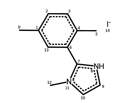 Cc1ccc(C)c(-c2[nH]cc[n+]2C)c1.[I-]